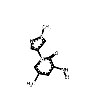 CCNc1cc(C)cn(-c2cnn(C)c2)c1=O